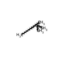 CCCCCCCCCCCCCCCCC(CCC)N(CCCC)CCCC